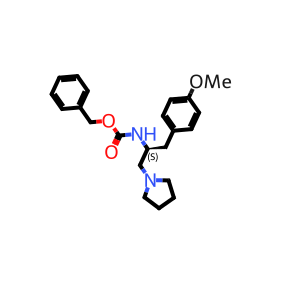 COc1ccc(C[C@@H](CN2CCCC2)NC(=O)OCc2ccccc2)cc1